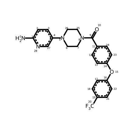 Nc1ccc(N2CCN(C(=O)c3ccc(Oc4ccc(C(F)(F)F)cc4)cc3)CC2)cn1